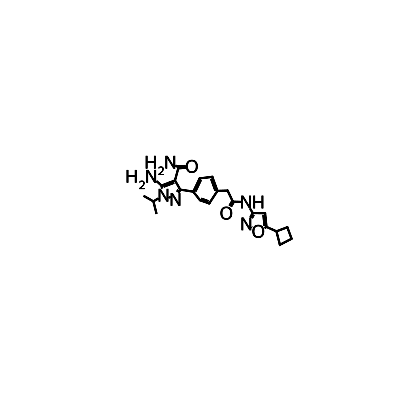 CC(C)n1nc(-c2ccc(CC(=O)Nc3cc(C4CCC4)on3)cc2)c(C(N)=O)c1N